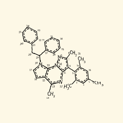 Cc1cc(C)c(-c2c(C)nn3c2nc(C)c2ccn(C(Cc4ccccc4)c4ccccc4)c23)c(C)c1